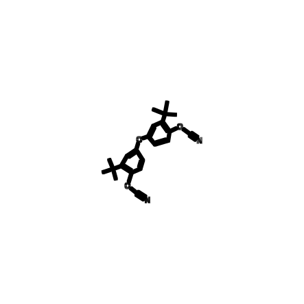 CC(C)(C)c1cc(Oc2ccc(OC#N)c(C(C)(C)C)c2)ccc1OC#N